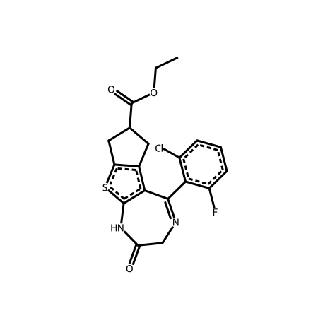 CCOC(=O)C1Cc2sc3c(c2C1)C(c1c(F)cccc1Cl)=NCC(=O)N3